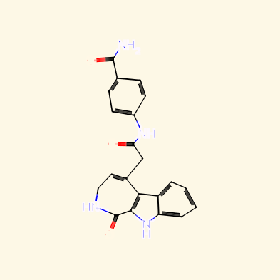 NC(=O)c1ccc(NC(=O)CC2=CCNC(=O)c3[nH]c4ccccc4c32)cc1